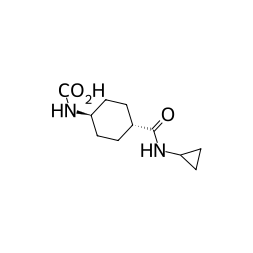 O=C(O)N[C@H]1CC[C@H](C(=O)NC2CC2)CC1